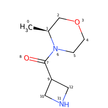 C[C@H]1COCCN1C(=O)C1CNC1